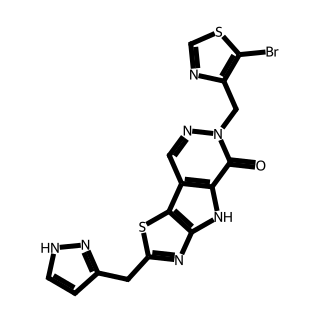 O=c1c2[nH]c3nc(Cc4cc[nH]n4)sc3c2cnn1Cc1ncsc1Br